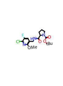 COc1nc(Cl)c(F)cc1CNC(=O)C1CCCN1C(=O)OC(C)(C)C